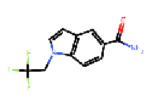 NC(=O)c1ccc2c(ccn2CC(F)(F)F)c1